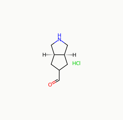 Cl.O=CC1C[C@H]2CNC[C@H]2C1